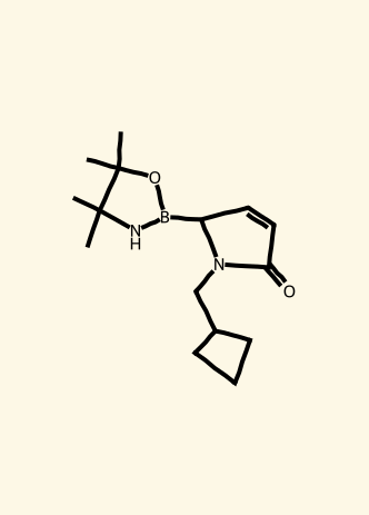 CC1(C)NB(C2C=CC(=O)N2CC2CCC2)OC1(C)C